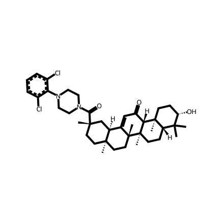 CC1(C)[C@@H](O)CC[C@]2(C)[C@H]3C(=O)C=C4[C@@H]5C[C@@](C)(C(=O)N6CCN(c7c(Cl)cccc7Cl)CC6)CC[C@]5(C)CC[C@@]4(C)[C@]3(C)CC[C@@H]12